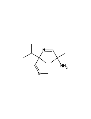 C/N=C\C(C)(/N=C\C(C)(C)N)C(C)C